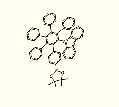 CC1(C)OB(c2ccc(-c3c(-c4ccccc4)c(-c4ccccc4)c(-c4ccccc4)c(-c4ccccc4)c3-n3c4ccccc4c4ccccc43)cc2)OC1(C)C